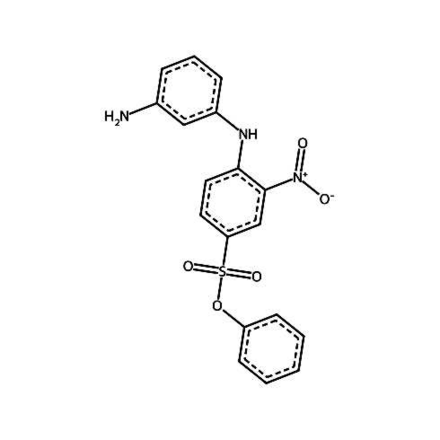 Nc1cccc(Nc2ccc(S(=O)(=O)Oc3ccccc3)cc2[N+](=O)[O-])c1